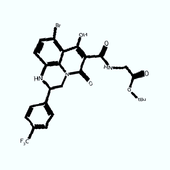 CC(C)(C)OC(=O)CNC(=O)c1c(O)c2c(Br)ccc3c2n(c1=O)CC(c1ccc(C(F)(F)F)cc1)N3